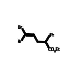 CCOC(=O)C(CC=C(Br)Br)C(C)C